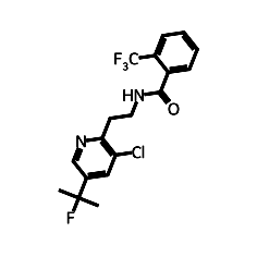 CC(C)(F)c1cnc(CCNC(=O)c2ccccc2C(F)(F)F)c(Cl)c1